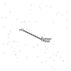 CCCCCCCCCCC(CCCCCCC)OC(=O)CCCCCCCCCCCCCCCCCO